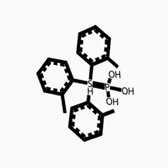 Cc1ccccc1[SH](c1ccccc1C)(c1ccccc1C)=P(O)(O)O